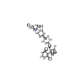 CN/C(=N\OC=O)c1ccc(N2CCC(OCc3c(-c4c(Cl)cccc4Cl)noc3C)CC2)cc1